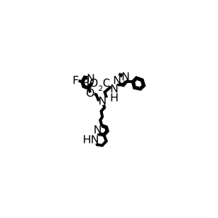 O=C(O)[C@H](CCN(CCCCc1ccc2c(n1)NCCC2)CCOc1cncc(F)c1)Nc1cc(-c2ccccc2)ncn1